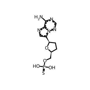 Nc1ncnn2c([C@H]3CC[C@@H](COP(O)(O)=S)O3)cnc12